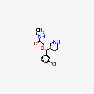 CCNC(=O)CO[C@@H](c1cccc(Cl)c1)C1CCCNC1